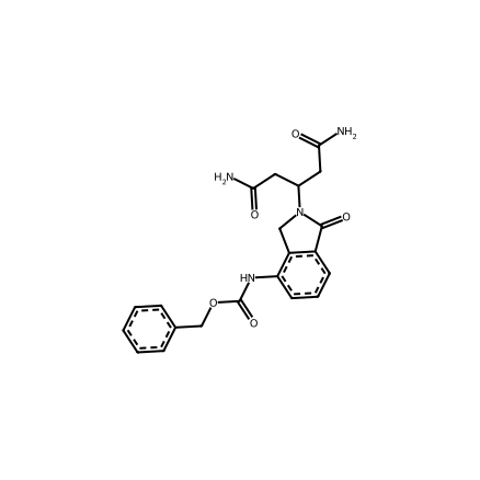 NC(=O)CC(CC(N)=O)N1Cc2c(NC(=O)OCc3ccccc3)cccc2C1=O